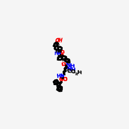 C[C@]1(C(=O)NC(=O)[C@@]2(C)CCC[C@]3(C)c4cc(NC(=O)C(CCCCNC(=O)OCC5c6ccccc6-c6ccccc65)NC(=O)O)ccc4CC[C@@H]23)CCC[C@]2(C)c3cc(O)ccc3CC[C@@H]12